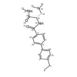 CCc1ccc(-c2ccc(C(=O)N[C@@H](CN(C)C)C(=O)NC)cc2)cc1